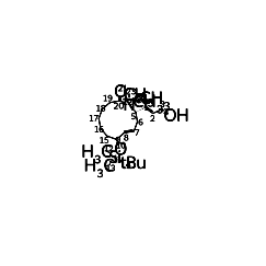 C/C(=C\CO)[C@@H]1C/C=C/C(O[Si](C)(C)C(C)(C)C)CCCCCC(=O)[N+]1(C)C